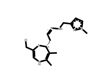 CC1=C(C)[C@@H](C/C=N\NCc2ccn(C)n2)SC(CCl)=CN1